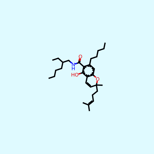 CCCCCc1cc2c(c(O)c1C(=O)NCC(CC)CCCC)C=CC(C)(CCC=C(C)C)O2